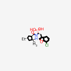 CC[C@H]1C[C@@H](C)[C@H](C(=O)N[C@@H](Cc2coc3c(Cl)cccc23)B(O)O)C1